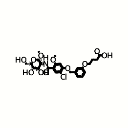 COc1cc(OCc2cccc(OCCCC(=O)O)c2)c(Cl)cc1C(=O)N[C@H]1[C@@H](OC)O[C@H](CO)[C@@H](O)[C@@H]1O